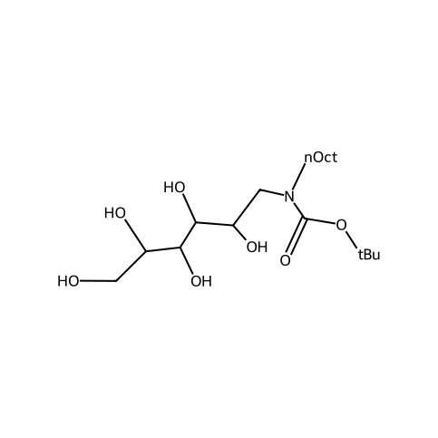 CCCCCCCCN(CC(O)C(O)C(O)C(O)CO)C(=O)OC(C)(C)C